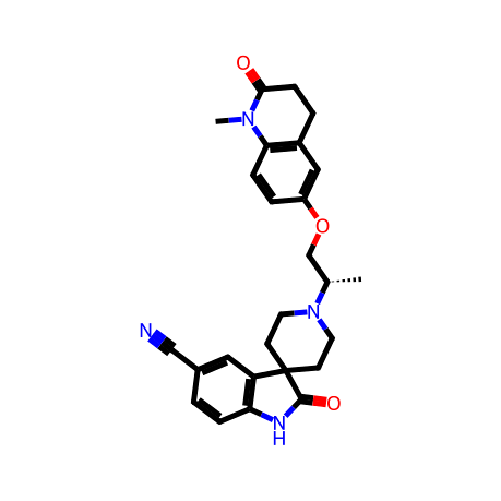 C[C@@H](COc1ccc2c(c1)CCC(=O)N2C)N1CCC2(CC1)C(=O)Nc1ccc(C#N)cc12